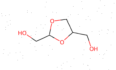 OCC1COC(CO)O1